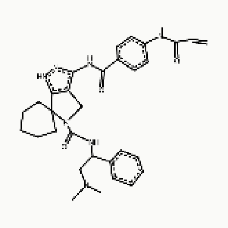 C=CC(=O)Nc1ccc(C(=O)Nc2n[nH]c3c2CN(C(=O)NC(CN(C)C)c2ccccc2)C32CCCCC2)cc1